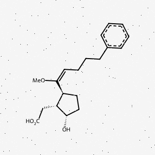 COC(=CCCCc1ccccc1)[C@H]1CC[C@H](O)[C@@H]1CC(=O)O